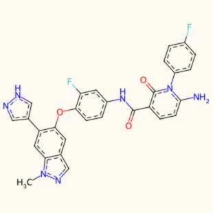 Cn1ncc2cc(Oc3ccc(NC(=O)c4ccc(N)n(-c5ccc(F)cc5)c4=O)cc3F)c(-c3cn[nH]c3)cc21